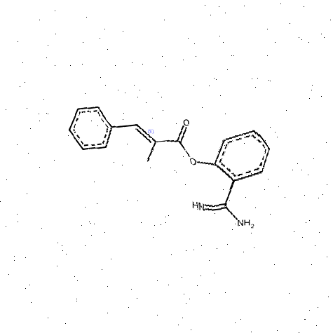 C/C(=C\c1ccccc1)C(=O)Oc1ccccc1C(=N)N